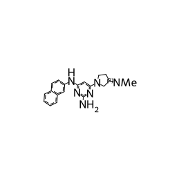 CN[C@@H]1CCN(c2cc(Nc3ccc4ccccc4c3)nc(N)n2)C1